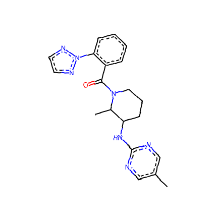 Cc1cnc(NC2CCCN(C(=O)c3ccccc3-n3nccn3)C2C)nc1